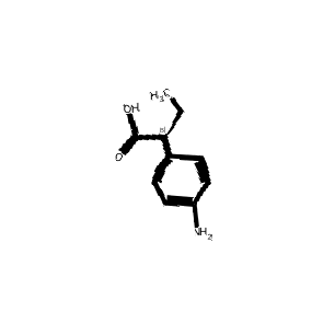 CC[C@H](C(=O)O)c1ccc(N)cc1